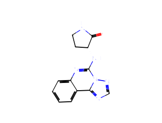 O=C1NCC[C@H]1Nc1nc2ccccc2c2ncnn12